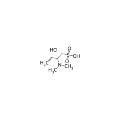 C=CC(CS(=O)(=O)O)N(C)C.Cl